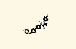 O=C(Nc1ccc(-c2ccc(CN3CCOCC3)cc2)cc1)C1(Oc2ccc(F)cc2)CC1